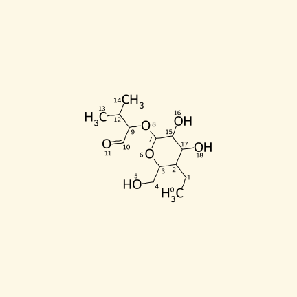 CCC1C(CO)OC(OC(C=O)C(C)C)C(O)C1O